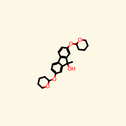 CC1(O)c2cc(OC3CCCCO3)ccc2-c2ccc(OC3CCCCO3)cc21